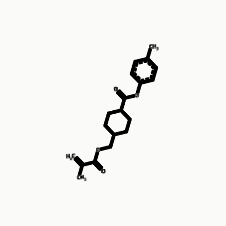 C=C(C)C(=O)OCC1CCC(C(=O)Oc2ccc(C)cc2)CC1